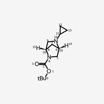 CC(C)(C)OC(=O)N1C[C@@H]2C[C@H]1CN2C1CC1